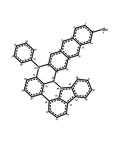 CC(C)(C)c1ccc2cc3cc4c(cc3cc2c1)B1c2c(cccc2N4c2ccccc2)-c2cccc3c4ccccc4n1c23